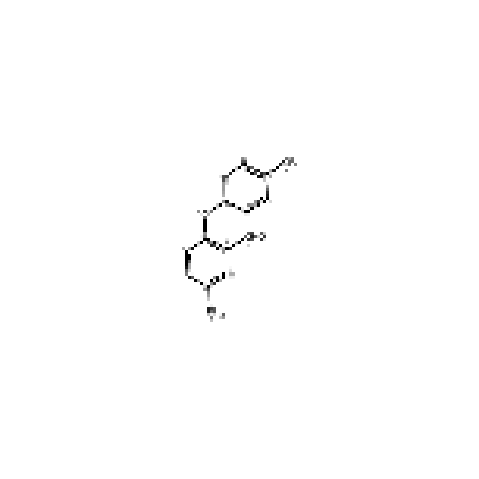 Bc1ccc(Oc2ccc(C(F)(F)F)cc2)c(C=O)c1